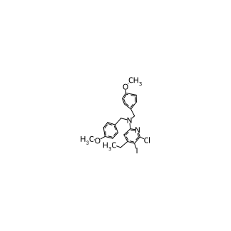 CCc1cc(N(Cc2ccc(OC)cc2)Cc2ccc(OC)cc2)nc(Cl)c1I